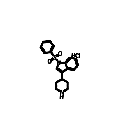 Cl.O=S(=O)(c1ccccc1)n1cc(C2CCNCC2)c2ccccc21